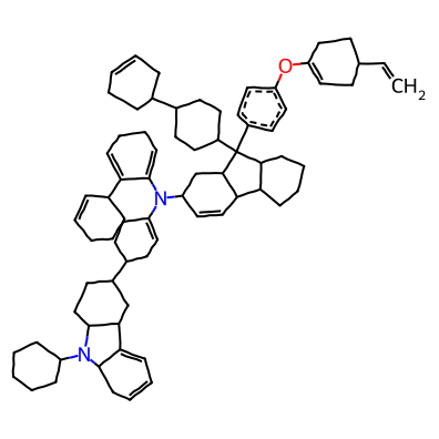 C=CC1CC=C(Oc2ccc(C3(C4CCC(C5CC=CCC5)CC4)C4CC(N(C5=CCC(C6CCC7C(C6)C6=CC=CCC6N7C6CCCCC6)CC5)C5=CCCC=C5C5C=CCCC5)C=CC4C4CCCCC43)cc2)CC1